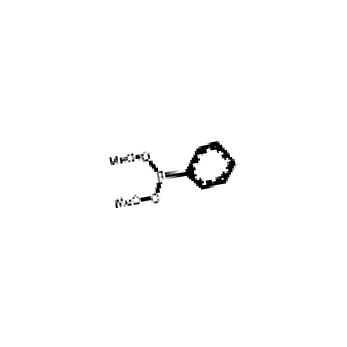 COOB(OOC)c1ccccc1